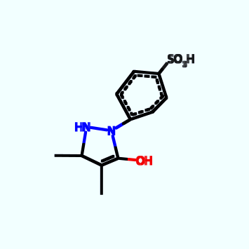 CC1=C(O)N(c2ccc(S(=O)(=O)O)cc2)NC1C